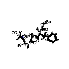 C/C(=C\[C@H](C(C)C)N(C)C(=O)[C@@H](NC(=O)[C@@H](N(C)C(=O)OC(C)(C)C)C(C)(C)c1ccccc1)C(C)(C)C)C(=O)O